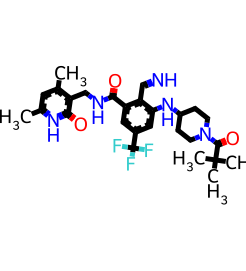 Cc1cc(C)c(CNC(=O)c2cc(C(F)(F)F)cc(NC3CCN(C(=O)C(C)(C)C)CC3)c2C=N)c(=O)[nH]1